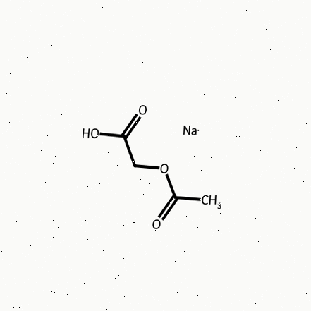 CC(=O)OCC(=O)O.[Na]